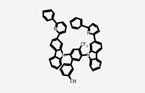 N#Cc1cccc(-c2cc(-n3c4ccccc4c4ccc(-c5cccc(-c6ccccc6)n5)cc43)c(C(F)(F)F)cc2-n2c3ccccc3c3ccc(-c4cccc(-c5ccccc5)n4)cc32)c1